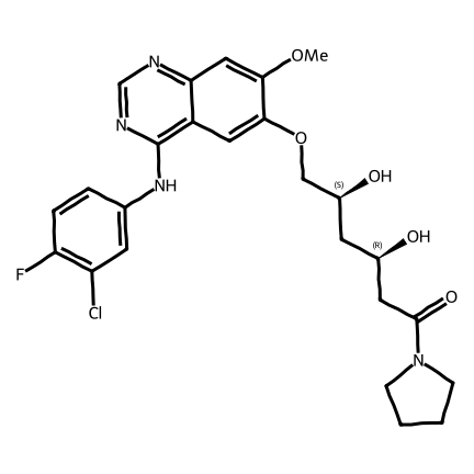 COc1cc2ncnc(Nc3ccc(F)c(Cl)c3)c2cc1OC[C@@H](O)C[C@@H](O)CC(=O)N1CCCC1